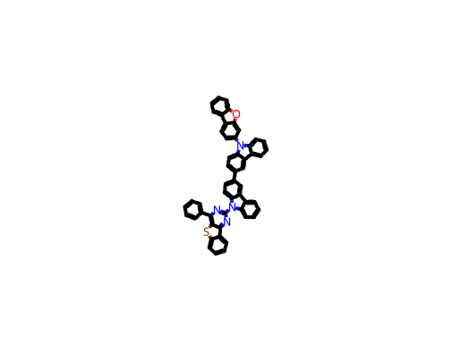 c1ccc(-c2nc(-n3c4ccccc4c4cc(-c5ccc6c(c5)c5ccccc5n6-c5ccc6c(c5)oc5ccccc56)ccc43)nc3c2sc2ccccc23)cc1